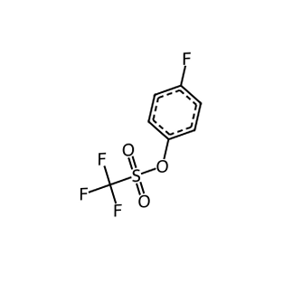 O=S(=O)(Oc1ccc(F)cc1)C(F)(F)F